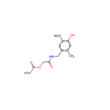 CCCCCCCCC(=O)OCC(=O)NCc1cc(OC)c(O)cc1C